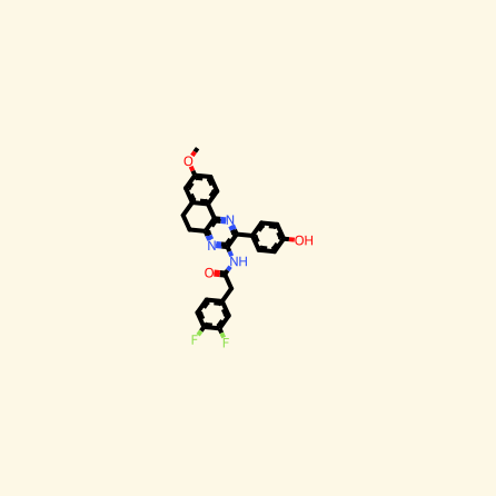 COc1ccc2c(c1)CCc1nc(NC(=O)Cc3ccc(F)c(F)c3)c(-c3ccc(O)cc3)nc1-2